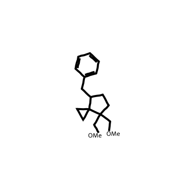 COCC1(COC)CCC(Cc2ccccc2)C12CC2